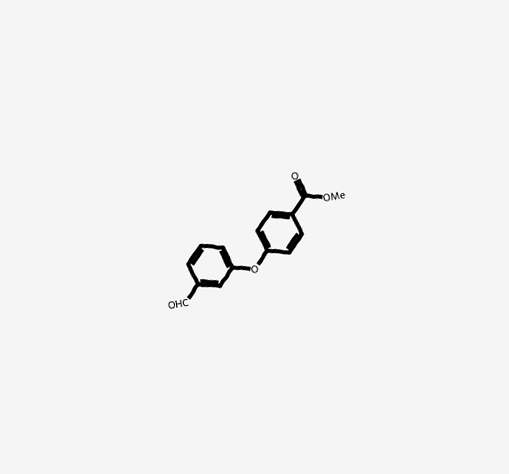 COC(=O)c1ccc(Oc2cccc(C=O)c2)cc1